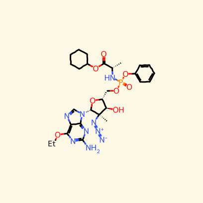 CCOc1nc(N)nc2c1ncn2[C@@H]1O[C@H](COP(=O)(N[C@@H](C)C(=O)OC2CCCCC2)Oc2ccccc2)[C@@H](O)[C@@]1(C)N=[N+]=[N-]